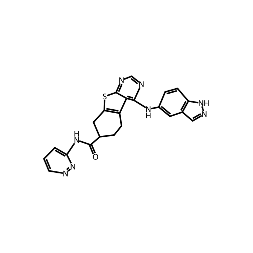 O=C(Nc1cccnn1)C1CCc2c(sc3ncnc(Nc4ccc5[nH]ncc5c4)c23)C1